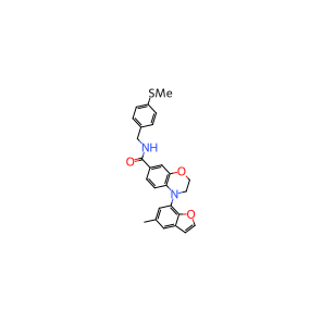 CSc1ccc(CNC(=O)c2ccc3c(c2)OCCN3c2cc(C)cc3ccoc23)cc1